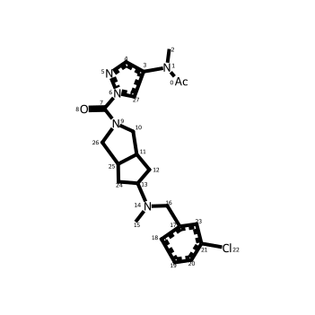 CC(=O)N(C)c1cnn(C(=O)N2CC3CC(N(C)Cc4cccc(Cl)c4)CC3C2)c1